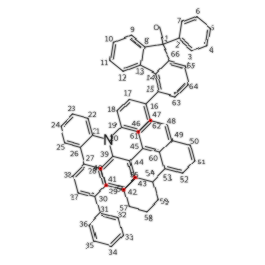 CC1(c2ccccc2)c2ccccc2-c2c(-c3ccc(N(c4ccccc4-c4ccc(-c5ccccc5)cc4)c4ccccc4-c4cccc5cccc(C6CCCCC6)c45)cc3)cccc21